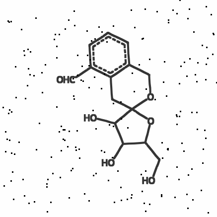 O=Cc1cccc2c1CC1(OC2)OC(CO)C(O)C1O